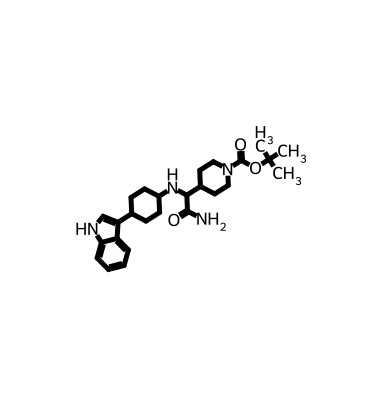 CC(C)(C)OC(=O)N1CCC(C(NC2CCC(c3c[nH]c4ccccc34)CC2)C(N)=O)CC1